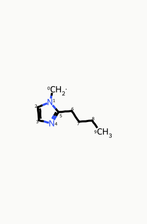 [CH2]n1ccnc1CCCC